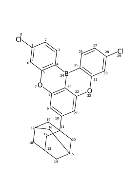 Clc1ccc2c(c1)Oc1cc(C34CC5CC(CC(C5)C3)C4)cc3c1B2c1ccc(Cl)cc1O3